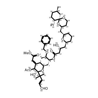 COC(=O)/C=C1\C[C@@H](C[C@@H](OC(=O)C[C@H](O)C[C@@H]2CCC[C@H](C[C@@H]3CCO[C@@]4(C[C@H](C)CC[C@H]4C(C)C)O3)O2)[C@@H](C)OCc2ccccc2)O[C@@](O)(C(C)(C)/C=C/C=O)C1OC(C)=O